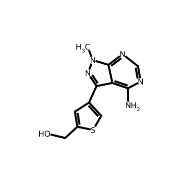 Cn1nc(-c2csc(CO)c2)c2c(N)ncnc21